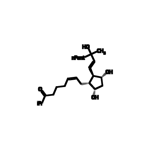 CCCCCC(C)(O)/C=C/[C@@H]1[C@@H](C/C=C\CCCC(=O)C(C)C)[C@@H](O)C[C@H]1O